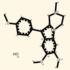 COc1ccc(-c2c3n(c4cc(OC)c(OC)cc24)CCN(C)C3)cc1.Cl